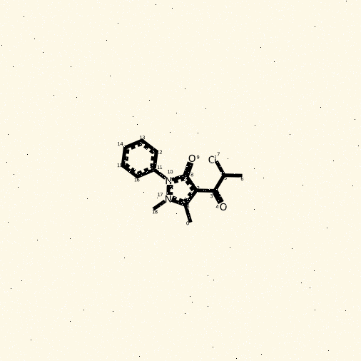 Cc1c(C(=O)C(C)Cl)c(=O)n(-c2ccccc2)n1C